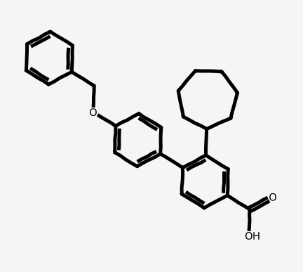 O=C(O)c1ccc(-c2ccc(OCc3ccccc3)cc2)c(C2CCCCCC2)c1